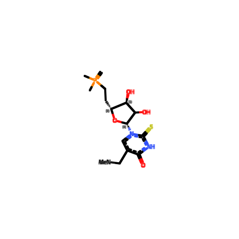 C=P(C)(C)CC[C@H]1O[C@@H](n2cc(CNC)c(=O)[nH]c2=S)C(O)[C@@H]1O